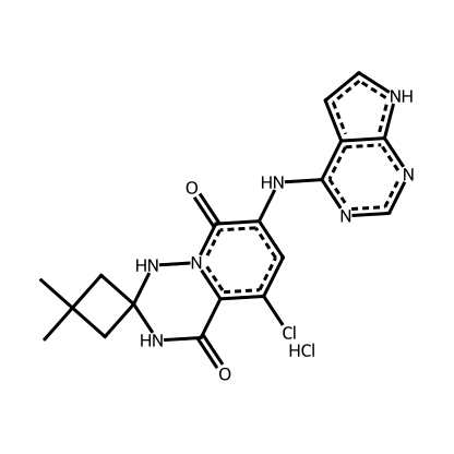 CC1(C)CC2(C1)NC(=O)c1c(Cl)cc(Nc3ncnc4[nH]ccc34)c(=O)n1N2.Cl